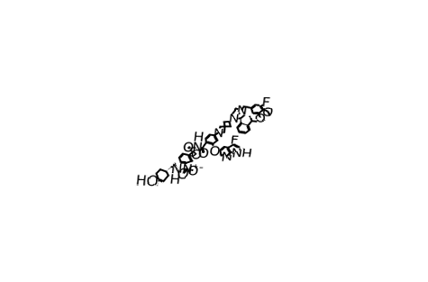 COc1cc(CN2CCN(C3CC4(C3)CN(c3ccc(C(=O)NS(=O)(=O)c5ccc(NC[C@H]6CC[C@](C)(O)CC6)c([N+](=O)[O-])c5)c(Oc5cnc6[nH]cc(F)c6c5)c3)C4)[C@H](c3ccccc3C(C)C)C2)cc(F)c1OC